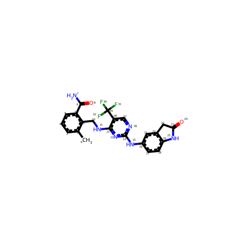 Cc1cccc(C(N)=O)c1CNc1nc(Nc2ccc3c(c2)CC(=O)N3)ncc1C(F)(F)F